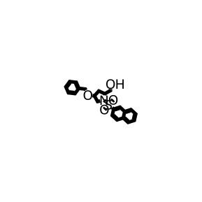 O=S(=O)(c1ccc2ccccc2c1)N1CC(OCc2ccccc2)CC1CO